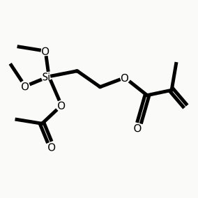 C=C(C)C(=O)OCC[Si](OC)(OC)OC(C)=O